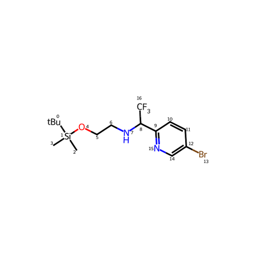 CC(C)(C)[Si](C)(C)OCCNC(c1ccc(Br)cn1)C(F)(F)F